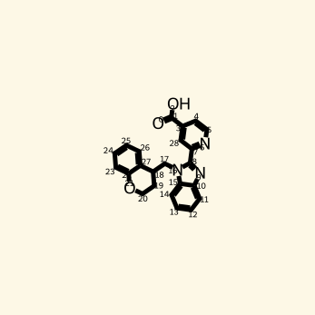 O=C(O)c1ccnc(-c2nc3ccccc3n2CC2CCOc3ccccc32)c1